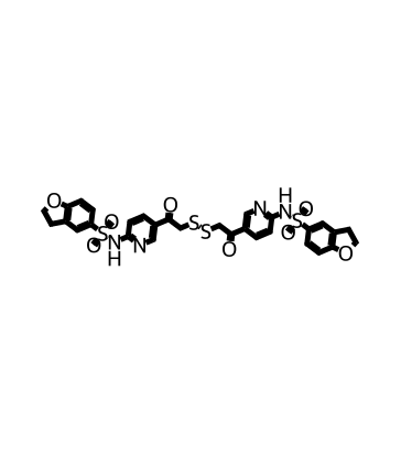 O=C(CSSCC(=O)c1ccc(NS(=O)(=O)c2ccc3c(c2)CCO3)nc1)c1ccc(NS(=O)(=O)c2ccc3c(c2)CCO3)nc1